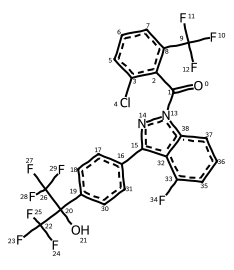 O=C(c1c(Cl)cccc1C(F)(F)F)n1nc(-c2ccc(C(O)(C(F)(F)F)C(F)(F)F)cc2)c2c(F)cccc21